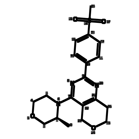 C[C@H]1COCCN1c1nc(-c2ccc(S(C)(=O)=O)cc2)nc2c1COCC2